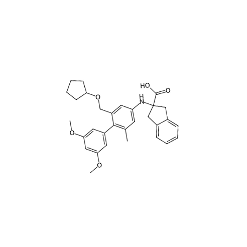 COc1cc(OC)cc(-c2c(C)cc(NC3(C(=O)O)Cc4ccccc4C3)cc2COC2CCCC2)c1